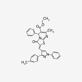 CCOC(=O)C1=C(C)N=c2s/c(=C\c3cn(-c4ccccc4)nc3-c3ccc(C)cc3)c(=O)n2C1c1ccccc1